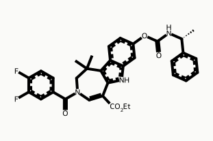 CCOC(=O)C1=CN(C(=O)c2ccc(F)c(F)c2)CC(C)(C)c2c1[nH]c1cc(OC(=O)N[C@H](C)c3ccccc3)ccc21